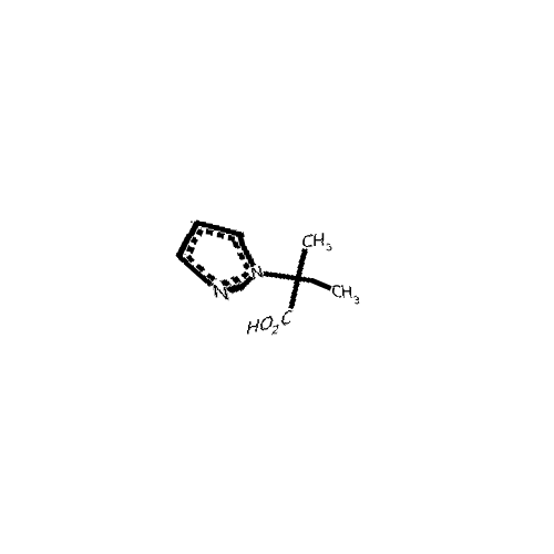 CC(C)(C(=O)O)n1c[c]cn1